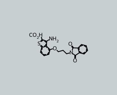 Nc1c(C(=O)O)sc2cccc(OCCCN3C(=O)c4ccccc4C3=O)c12